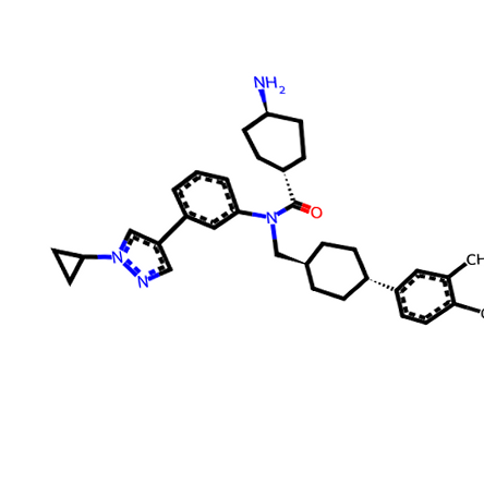 COc1ccc([C@H]2CC[C@H](CN(c3cccc(-c4cnn(C5CC5)c4)c3)C(=O)[C@H]3CC[C@H](N)CC3)CC2)cc1C